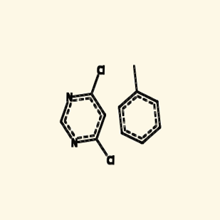 Cc1ccccc1.Clc1cc(Cl)ncn1